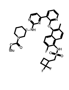 Cc1ccc2c(NS(=O)(=O)CC3CCC3(F)F)c(F)ccc2c1Oc1ncccc1-c1ccnc(N[C@H]2CCCN(C(=O)OC(C)(C)C)C2)n1